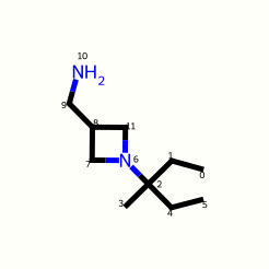 CCC(C)(CC)N1CC(CN)C1